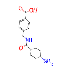 NC1CCC(C(=O)NCc2ccc(C(=O)O)cc2)CC1